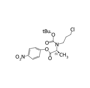 C[C@@H](C(=O)Oc1ccc([N+](=O)[O-])cc1)N(CCCCl)C(=O)OC(C)(C)C